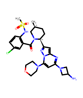 C[C@H]1CC[C@@H](c2cc3nc(N4CC(N)C4)cc(N4CCOCC4)n3n2)N(C(=O)c2cc(Cl)ccc2NS(C)(=O)=O)C1